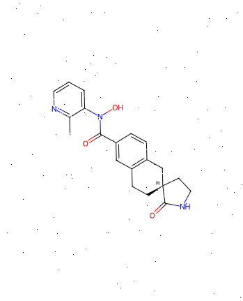 Cc1ncccc1N(O)C(=O)c1ccc2c(c1)CC[C@]1(CCNC1=O)C2